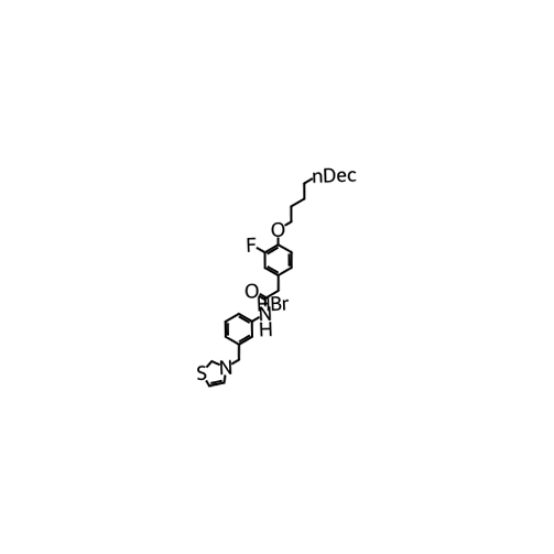 Br.CCCCCCCCCCCCCCOc1ccc(CC(=O)Nc2cccc(CN3C=CSC3)c2)cc1F